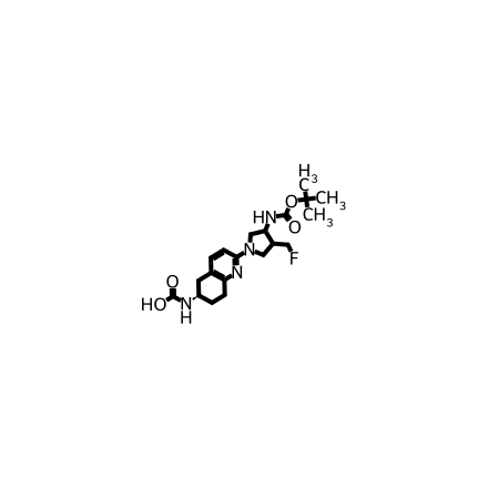 CC(C)(C)OC(=O)NC1CN(c2ccc3c(n2)CC[C@H](NC(=O)O)C3)CC1CF